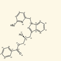 CCCCc1cccc(Cn2cc(C[C@H](O)COC(=O)c3ccccc3)c3ccccc32)n1